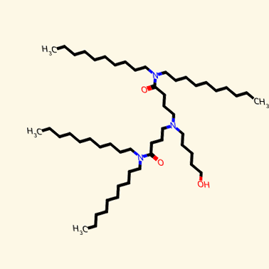 CCCCCCCCCCN(CCCCCCCCCC)C(=O)CCCN(CCCCCO)CCCC(=O)N(CCCCCCCCCC)CCCCCCCCCC